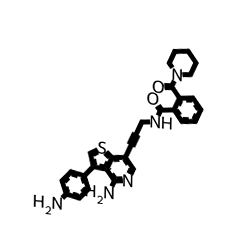 Nc1ccc(-c2csc3c(C#CCNC(=O)c4ccccc4C(=O)N4CCCCC4)cnc(N)c23)cc1